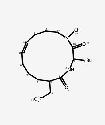 CCCCC1NC(=O)C(CC(=O)O)CCCC=CCCCN(C)C1=O